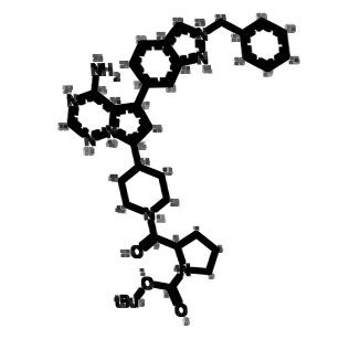 CC(C)(C)OC(=O)N1CCCC1C(=O)N1CCC(c2cc(-c3ccc4cn(Cc5ccccc5)nc4c3)c3c(N)ncnn23)CC1